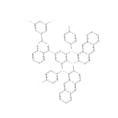 CC(C)(C)c1ccc(N2c3cc(-c4nc(-c5cc(C(C)(C)C)cc(C(C)(C)C)c5)nc5ccccc45)cc4c3B(c3ccc5cc6ccccc6cc5c32)c2ccc3cc5ccccc5cc3c2N4c2ccc(C(C)(C)C)cc2)cc1